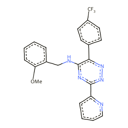 COc1ccccc1CNc1nc(-c2ccccn2)nnc1-c1ccc(C(F)(F)F)cc1